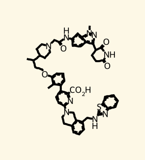 Cc1c(OCCC(C)C2CCN(CC(=O)Nc3ccc4c(C5CCC(=O)NC5=O)nn(C)c4c3)CC2)cccc1-c1ccc(N2CCc3cccc(CNc4nc5ccccc5s4)c3C2)nc1C(=O)O